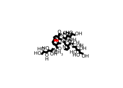 CN(C[C@H](O)[C@@H](O)[C@H](O)[C@H](O)CO)C(=O)c1cccnc1CN(Cc1ncccc1C(=O)N(C)C[C@H](O)[C@@H](O)[C@H](O)[C@H](O)CO)Cc1ncccc1C(=O)N(C)C[C@H](O)[C@@H](O)[C@H](O)[C@H](O)CO